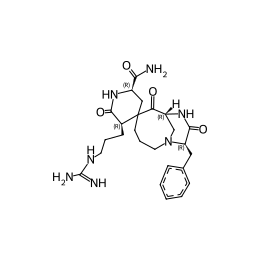 N=C(N)NCCC[C@H]1C(=O)N[C@@H](C(N)=O)CC12CCCN1C[C@@H](NC(=O)[C@H]1Cc1ccccc1)C2=O